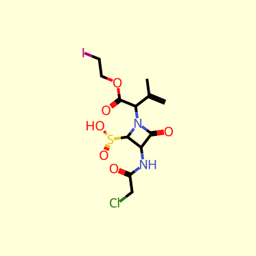 C=C(C)C(C(=O)OCCI)N1C(=O)C(NC(=O)CCl)C1S(=O)O